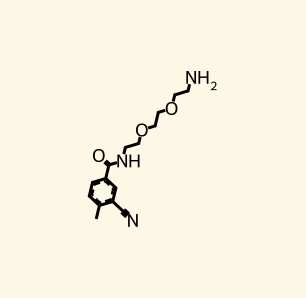 Cc1ccc(C(=O)NCCOCCOCCN)cc1C#N